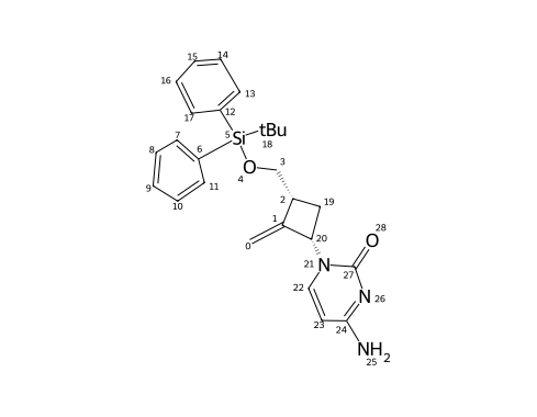 C=C1[C@H](CO[Si](c2ccccc2)(c2ccccc2)C(C)(C)C)C[C@@H]1n1ccc(N)nc1=O